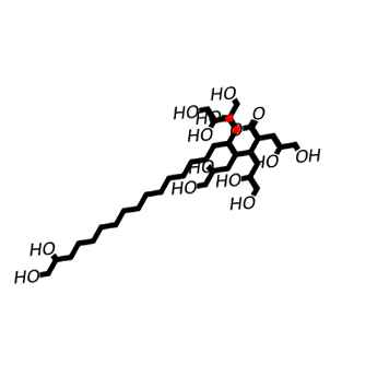 O=C(OCC(O)CO)C(CC(O)CO)C(CC(O)CO)C(CC(O)CO)C(CCCCCCCCCCCCCCC(O)CO)CC(O)CO